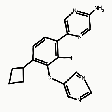 Nc1cnc(-c2ccc(C3CCC3)c(Oc3cncnc3)c2F)cn1